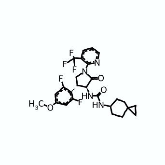 COc1cc(F)c([C@@H]2CN(c3ncccc3C(F)(F)F)C(=O)[C@H]2NC(=O)NC2CCC3(CC2)CC3)c(F)c1